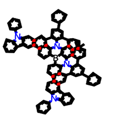 CC(C)(C)c1cc2c3c(c1)N(c1c(-c4ccccc4)cc(-c4ccccc4)cc1-c1ccccc1)c1cc(-c4ccc5c(c4)c4ccccc4n5-c4ccccc4)ccc1B3c1ccc(-c3ccc4c(c3)c3ccccc3n4-c3ccccc3)cc1N2c1c(-c2ccccc2)cc(-c2ccccc2)cc1-c1ccccc1